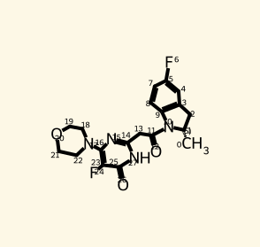 C[C@H]1Cc2cc(F)ccc2N1C(=O)Cc1nc(N2CCOCC2)c(F)c(=O)[nH]1